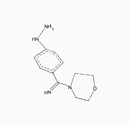 N=C(c1ccc(NN)cc1)N1CCOCC1